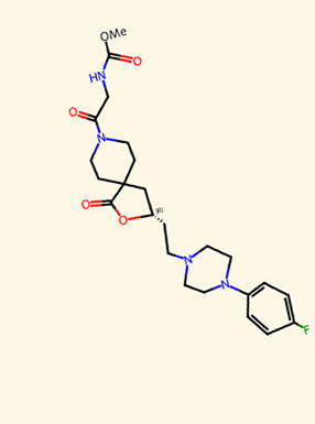 COC(=O)NCC(=O)N1CCC2(CC1)C[C@H](CCN1CCN(c3ccc(F)cc3)CC1)OC2=O